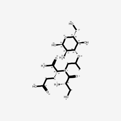 CC(CN(C(=O)[C@@H](N)CO)[C@H](CCC(=O)O)C(N)=O)O[C@@H]1[C@@H](N)[C@@H](O)O[C@H](CO)[C@H]1O